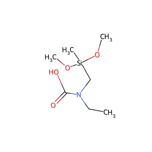 CCN(C[Si](C)(OC)OC)C(=O)O